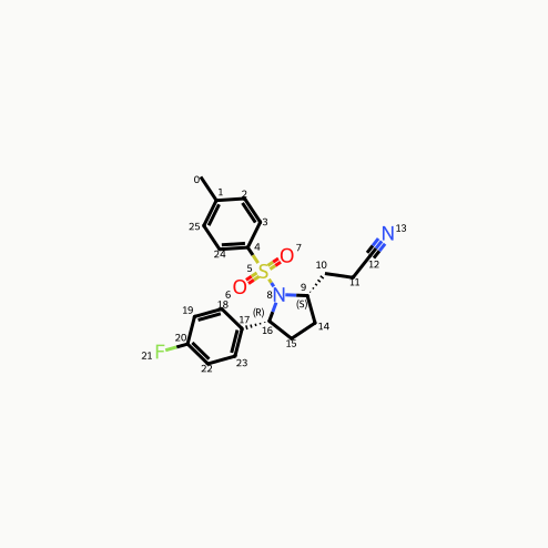 Cc1ccc(S(=O)(=O)N2[C@H](CCC#N)CC[C@@H]2c2ccc(F)cc2)cc1